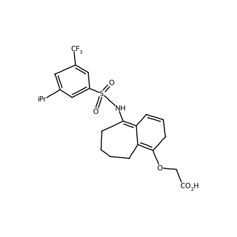 CC(C)c1cc(C(F)(F)F)cc(S(=O)(=O)NC2=C3C=CCC(OCC(=O)O)=C3CCCC2)c1